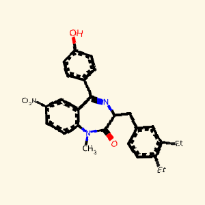 CCc1ccc(CC2N=C(c3ccc(O)cc3)c3cc([N+](=O)[O-])ccc3N(C)C2=O)cc1CC